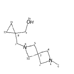 CN1CC2(C1)CN(CC1(CO)CC1)C2